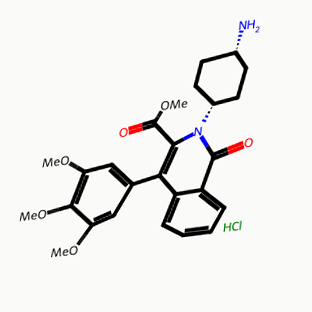 COC(=O)c1c(-c2cc(OC)c(OC)c(OC)c2)c2ccccc2c(=O)n1[C@H]1CC[C@@H](N)CC1.Cl